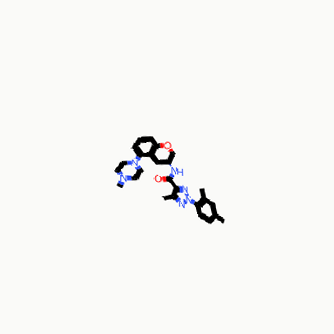 Cc1ccc(-n2nc(C)c(C(=O)N[C@H]3COc4cccc(N5CCN(C)CC5)c4C3)n2)c(C)c1